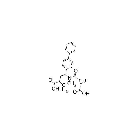 C[C@H](C[C@@H](c1ccc(-c2ccccc2)cc1)N(C)C(=O)[C@@H]1O[C@@H]1C(=O)O)C(=O)O